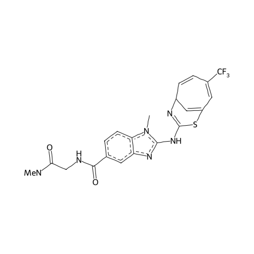 CNC(=O)CNC(=O)c1ccc2c(c1)nc(NC1=NC3C=CC(C(F)(F)F)=CC(=C3)S1)n2C